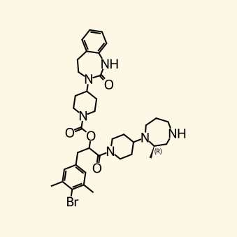 Cc1cc(CC(OC(=O)N2CCC(N3CCc4ccccc4NC3=O)CC2)C(=O)N2CCC(N3CCCNC[C@H]3C)CC2)cc(C)c1Br